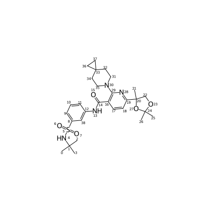 CC(C)(C)NS(=O)(=O)c1cccc(NC(=O)c2ccc(C3(C)COC(C)(C)O3)nc2N2CCC3(CC2)CC3)c1